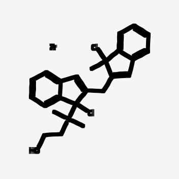 CC1(Cl)C(CC2=Cc3ccccc3C2(Cl)[Si](C)(C)CCO)=Cc2ccccc21.[Zr]